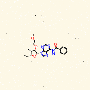 CC[C@H]1O[C@@H](n2cnc3c(NC(=O)c4ccccc4)ncnc32)[C@H](OCCOC)[C@@H]1C